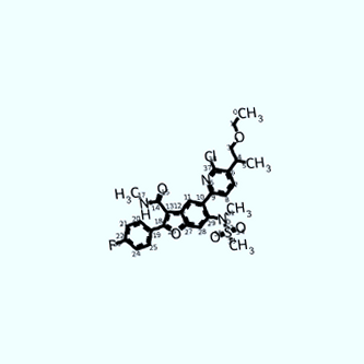 CCOCC(C)c1ccc(-c2cc3c(C(=O)NC)c(-c4ccc(F)cc4)oc3cc2N(C)S(C)(=O)=O)nc1Cl